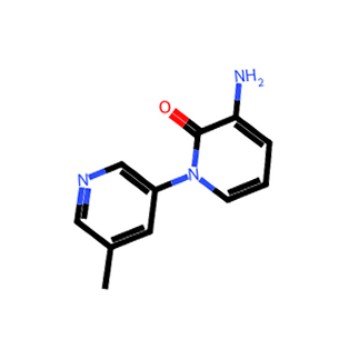 Cc1cncc(-n2cccc(N)c2=O)c1